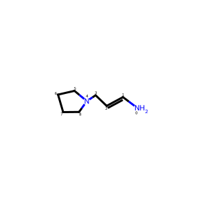 NC=CCN1CCCC1